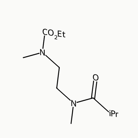 CCOC(=O)N(C)CCN(C)C(=O)C(C)C